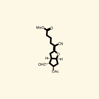 COC(=O)CCCC(C#N)=C1C[C@@H]2[C@@H](C=O)[C@H](OC(C)=O)C[C@@H]2O1